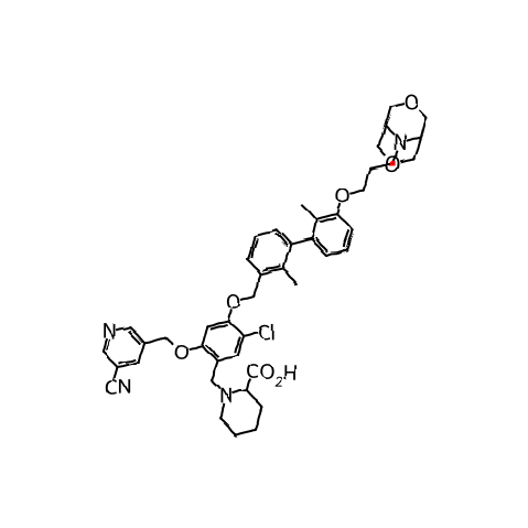 Cc1c(COc2cc(OCc3cncc(C#N)c3)c(CN3CCCCC3C(=O)O)cc2Cl)cccc1-c1cccc(OCCCN2C3COCC2COC3)c1C